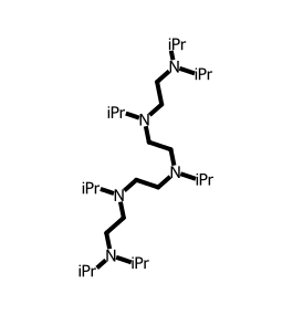 CC(C)N(CCN(CCN(C(C)C)C(C)C)C(C)C)CCN(CCN(C(C)C)C(C)C)C(C)C